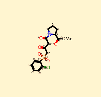 COC(=O)C1CCCN1C(=O)CC(=O)CS(=O)(=O)c1ccccc1Cl